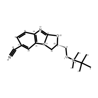 CC(C)(C)[Si](C)(C)OC[C@@H]1Cn2c(nc3ccc(C#N)cc32)O1